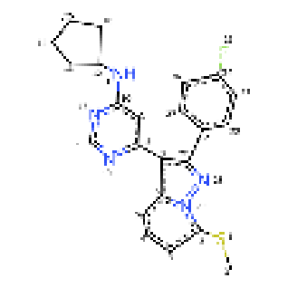 CSc1cccc2c(-c3cc(NC4CCCC4)ncn3)c(-c3ccc(F)cc3)nn12